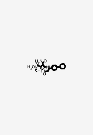 CN(C)C(=O)c1nn2c(=O)cc(-c3ccc(C4CCCCC4)cc3)[nH]c2c1C(N)=O